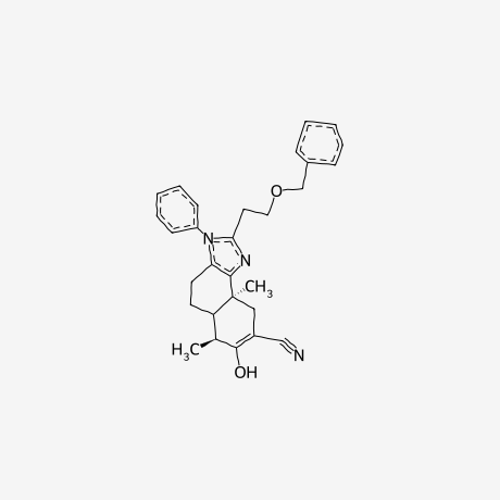 C[C@@H]1C(O)=C(C#N)C[C@]2(C)c3nc(CCOCc4ccccc4)n(-c4ccccc4)c3CCC12